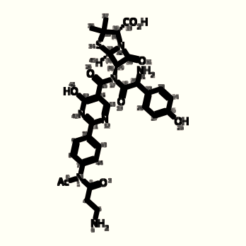 CC(=O)N(C(=O)CCN)c1ccc(-c2ncc(C(=O)N(C(=O)C(N)c3ccc(O)cc3)[C@@H]3C(=O)N4[C@@H]3SC(C)(C)[C@@H]4C(=O)O)c(O)n2)cc1